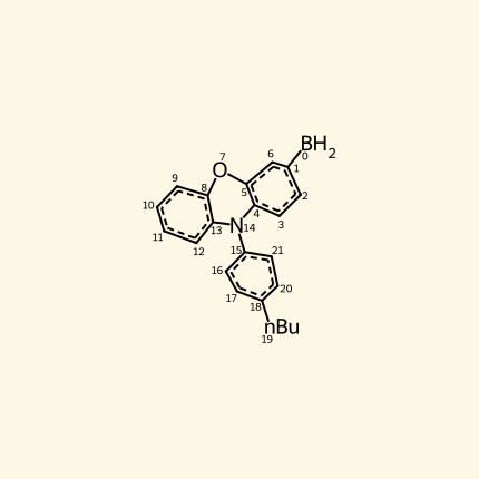 Bc1ccc2c(c1)Oc1ccccc1N2c1ccc(CCCC)cc1